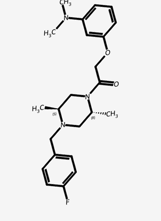 C[C@@H]1CN(Cc2ccc(F)cc2)[C@@H](C)CN1C(=O)COc1cccc(N(C)C)c1